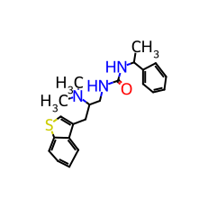 CC(NC(=O)NCC(Cc1csc2ccccc12)N(C)C)c1ccccc1